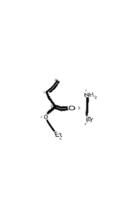 C=CC(=O)OCC.CC(C)N